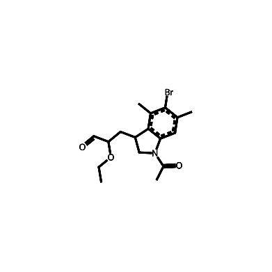 CCOC(C=O)CC1CN(C(C)=O)c2cc(C)c(Br)c(C)c21